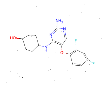 Nc1ncc(Oc2ccc(F)cc2F)c(N[C@H]2CC[C@H](O)CC2)n1